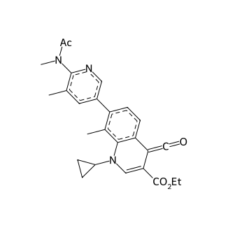 CCOC(=O)C1=CN(C2CC2)c2c(ccc(-c3cnc(N(C)C(C)=O)c(C)c3)c2C)C1=C=O